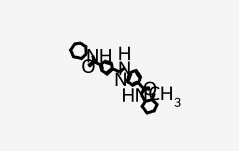 CC1CCCCC1NC(=O)c1ccc2[nH]c(-c3ccc(C(=O)NC4CCCCCC4)cc3)nc2c1